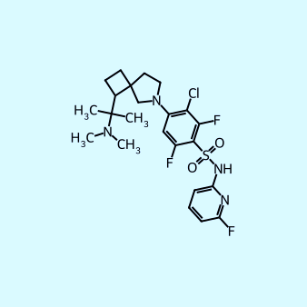 CN(C)C(C)(C)C1CCC12CCN(c1cc(F)c(S(=O)(=O)Nc3cccc(F)n3)c(F)c1Cl)C2